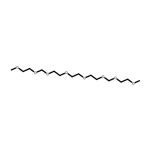 COCCOCOCCOCCOCCOCOCCOC